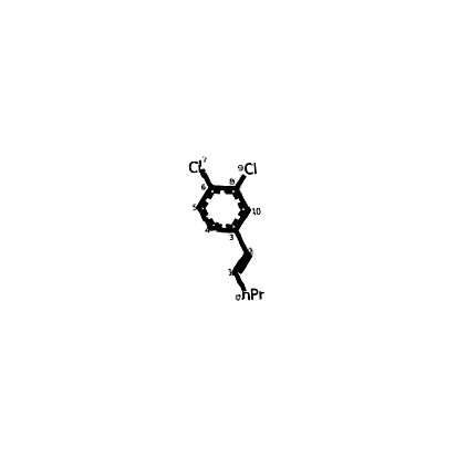 CCCC=Cc1ccc(Cl)c(Cl)c1